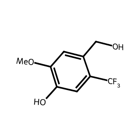 COc1cc(CO)c(C(F)(F)F)cc1O